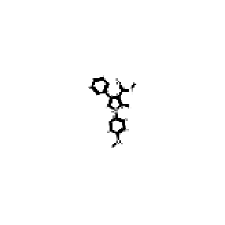 COC(=O)c1c(-c2ccccc2)cn(-c2ccc(OC)cc2)c1C